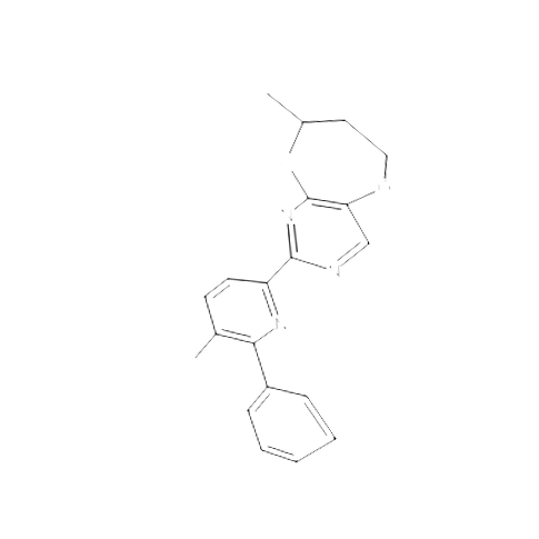 Cc1ccc(-c2ncc3c(n2)OC(C)CCO3)nc1-c1ccccc1